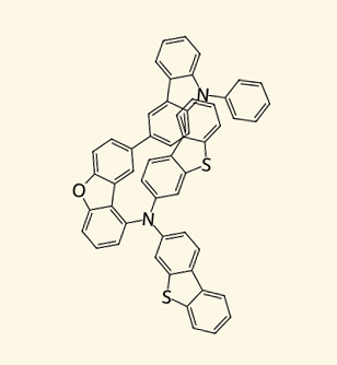 c1ccc(-n2c3ccccc3c3cc(-c4ccc5oc6cccc(N(c7ccc8c(c7)sc7ccccc78)c7ccc8c(c7)sc7ccccc78)c6c5c4)ccc32)cc1